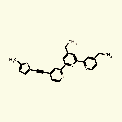 CCc1ccnc(-c2cc(CC)cc(-c3cc(C#Cc4ccc(C)s4)ccn3)n2)c1